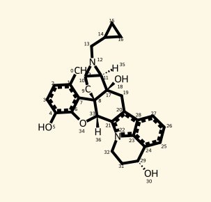 Cc1ccc(O)c2c1[C@]13CC4[C@@H](N4CC4CC4)[C@]1(O)Cc1c(n4c5c(cccc15)[C@H](O)CC4)[C@@H]3O2